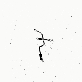 C#CCOP(C)(=O)SCC